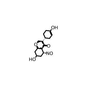 O=N[C@H]1CC(O)Cc2occ([C@H]3CC=C(O)CC3)c(=O)c21